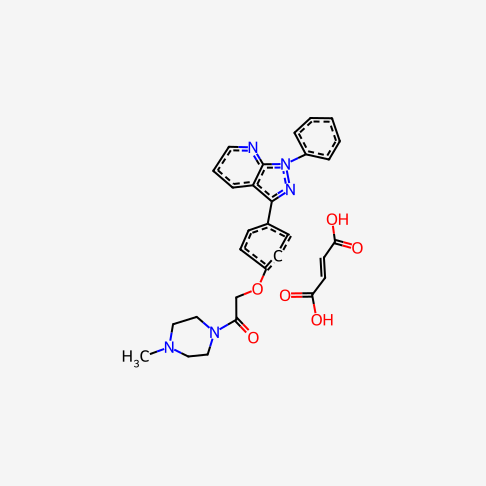 CN1CCN(C(=O)COc2ccc(-c3nn(-c4ccccc4)c4ncccc34)cc2)CC1.O=C(O)C=CC(=O)O